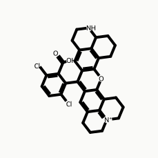 O=C(O)c1c(Cl)ccc(Cl)c1C1=c2cc3c4c(c2Oc2c1cc1c5c2CCCC5NCC1)CCC[N+]=4CCC3